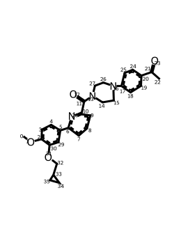 COc1ccc(-c2cccc(C(=O)N3CCN(c4ccc(C(C)=O)cc4)CC3)n2)cc1OCC1CC1